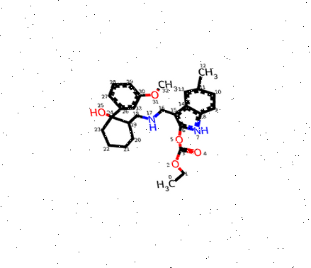 CCOC(=O)Oc1[nH]c2ccc(C)cc2c1CNCC1CCCCC1(O)c1cccc(OC)c1